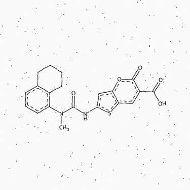 CN(C(=O)Nc1cc2oc(=O)c(C(=O)O)cc2s1)c1cccc2c1CCCC2